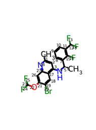 Cc1cc(N[C@H](C)c2cccc(C(F)F)c2F)c2cc(Br)c(OC(F)F)cc2n1